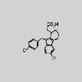 O=C(O)CC1CCCc2c1n(Cc1ccc(Cl)cc1)c1ccc(Br)cc21